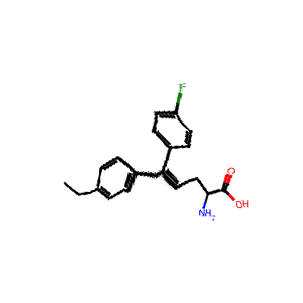 CCc1ccc(C(=CCC(N)C(=O)O)c2ccc(F)cc2)cc1